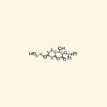 CCCC(CC)Oc1c(O)c2ccc(OCCO)cc2oc1=O